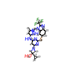 Cc1cc(Nc2cc(N3CC(O)(C4CC4)C3)nc(Sc3ccc4nc(C(F)(F)F)n(C)c4c3)n2)[nH]n1